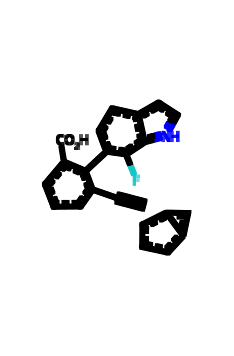 C#Cc1cccc(C(=O)O)c1-c1ccc2cc[nH]c2c1F.c1cc2cc-2c1